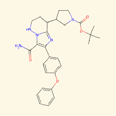 CC(C)(C)OC(=O)N1CCC(C2CCNn3c2nc(-c2ccc(Oc4ccccc4)cc2)c3C(N)=O)C1